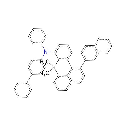 CC1(C)c2c(cccc2N(c2ccccc2)c2ccc(-c3ccccc3)cc2)-c2c(-c3ccc4ccccc4c3)ccc3cccc1c23